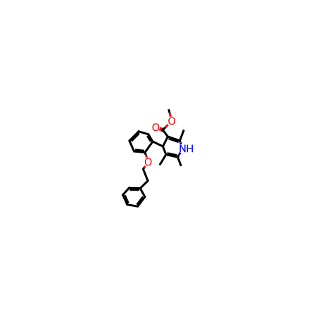 COC(=O)C1=C(C)NC(C)=C(C)C1c1ccccc1OCCc1ccccc1